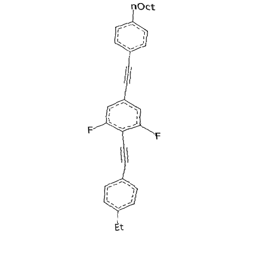 CCCCCCCCc1ccc(C#Cc2cc(F)c(C#Cc3ccc(CC)cc3)c(F)c2)cc1